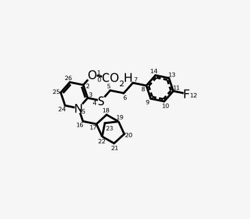 O=C(O)OC1=C(SCCCc2ccc(F)cc2)N(CC2CC3CCC2C3)CC=C1